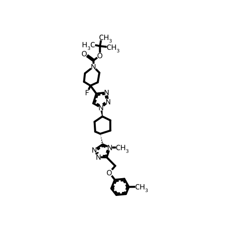 Cc1cccc(OCc2nnc([C@H]3CC[C@H](n4cc(C5(F)CCN(C(=O)OC(C)(C)C)CC5)nn4)CC3)n2C)c1